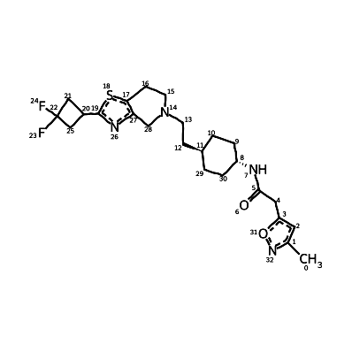 Cc1cc(CC(=O)N[C@H]2CC[C@H](CCN3CCc4sc(C5CC(F)(F)C5)nc4C3)CC2)on1